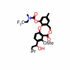 COc1c([C@@H](O)CC(C)C)ccc2c1C(=O)OCc1cc(C)cc(OC(=O)N(C)CC(F)(F)F)c1O2